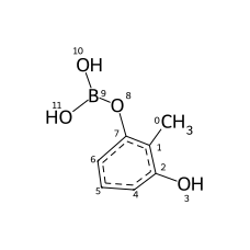 Cc1c(O)cccc1OB(O)O